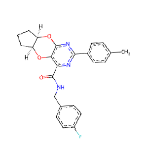 Cc1ccc(-c2nc3c(c(C(=O)NCc4ccc(F)cc4)n2)O[C@H]2CCC[C@H]2O3)cc1